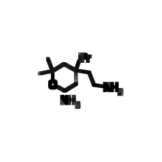 CC(C)C1(CCN)CCOC(C)(C)C1.N